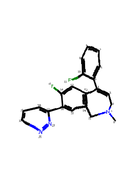 CN1CC=C(c2ccccc2F)c2cc(F)c(-c3cccnn3)cc2C1